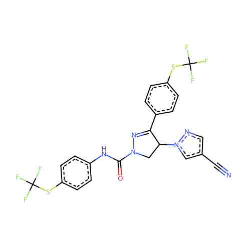 N#Cc1cnn(C2CN(C(=O)Nc3ccc(SC(F)(F)F)cc3)N=C2c2ccc(SC(F)(F)F)cc2)c1